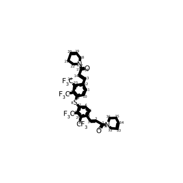 O=C(/C=C/c1ccc(Sc2ccc(/C=C/C(=O)N3CC=CCC3)c(C(F)(F)F)c2C(F)(F)F)c(C(F)(F)F)c1C(F)(F)F)N1CC=CCC1